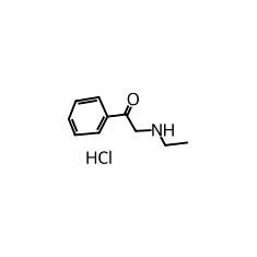 CCNCC(=O)c1ccccc1.Cl